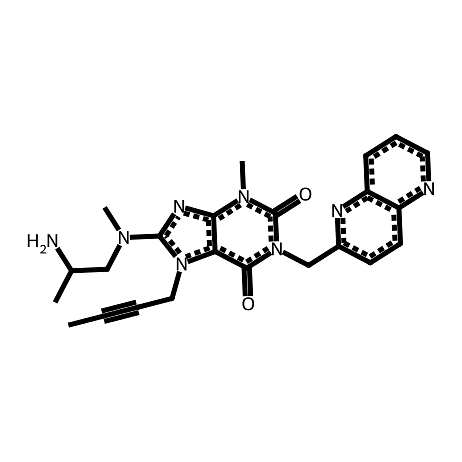 CC#CCn1c(N(C)CC(C)N)nc2c1c(=O)n(Cc1ccc3ncccc3n1)c(=O)n2C